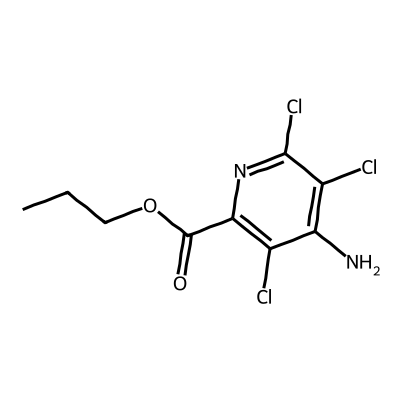 CCCOC(=O)c1nc(Cl)c(Cl)c(N)c1Cl